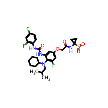 CC(C)CN(c1c(F)cc(OCC(=O)NC2([SH](=O)=O)CC2)cc1NC(=O)Nc1ccc(Cl)cc1F)C1CCCCC1